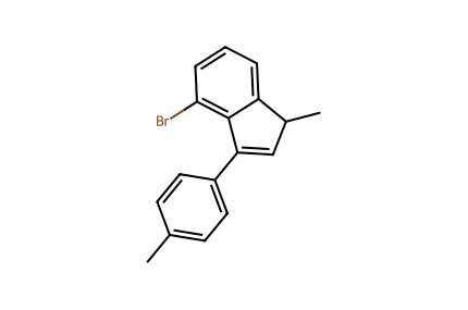 Cc1ccc(C2=CC(C)c3cccc(Br)c32)cc1